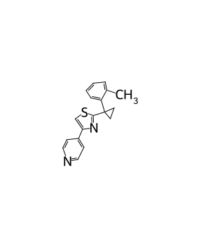 Cc1ccccc1C1(c2nc(-c3ccncc3)cs2)CC1